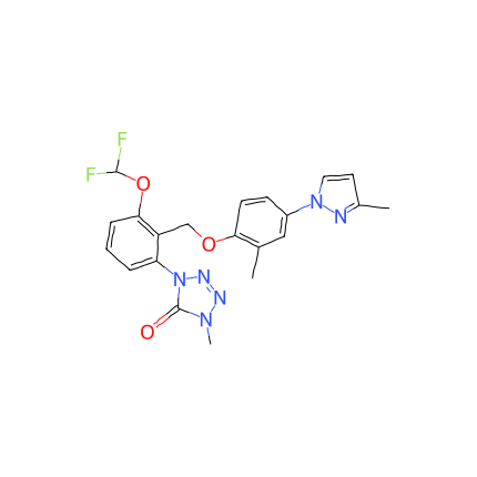 Cc1ccn(-c2ccc(OCc3c(OC(F)F)cccc3-n3nnn(C)c3=O)c(C)c2)n1